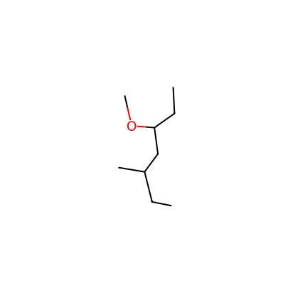 CCC(C)CC(CC)OC